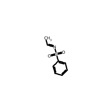 CC=NS(=O)(=O)c1ccccc1